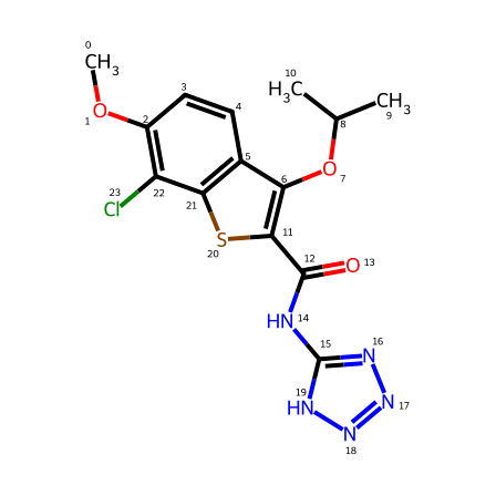 COc1ccc2c(OC(C)C)c(C(=O)Nc3nnn[nH]3)sc2c1Cl